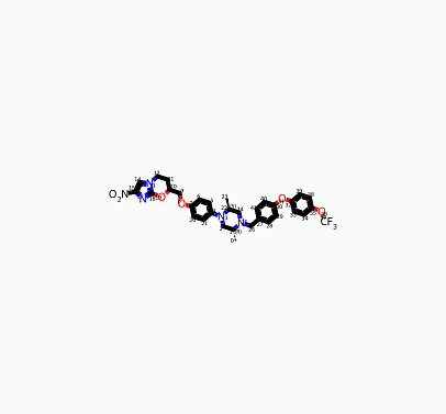 C[C@@H]1CN(c2ccc(OCC3CCn4cc([N+](=O)[O-])nc4O3)cc2)[C@@H](C)CN1Cc1ccc(Oc2ccc(OC(F)(F)F)cc2)cc1